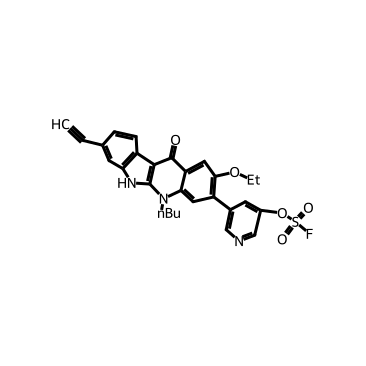 C#Cc1ccc2c(c1)[nH]c1c2c(=O)c2cc(OCC)c(-c3cncc(OS(=O)(=O)F)c3)cc2n1CCCC